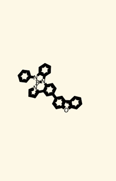 c1ccc(N2B3N(c4ccc(-c5ccc6oc7ccccc7c6c5)cc4-c4cccn43)c3ccccc32)cc1